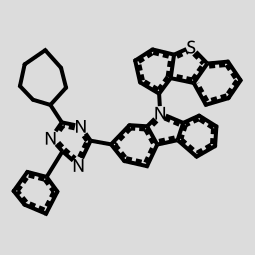 c1ccc(-c2nc(-c3ccc4c5ccccc5n(-c5cccc6sc7ccccc7c56)c4c3)nc(C3CCCCCC3)n2)cc1